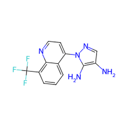 Nc1cnn(-c2ccnc3c(C(F)(F)F)cccc23)c1N